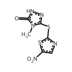 Cn1c(Sc2ncc([N+](=O)[O-])s2)n[nH]c1=O